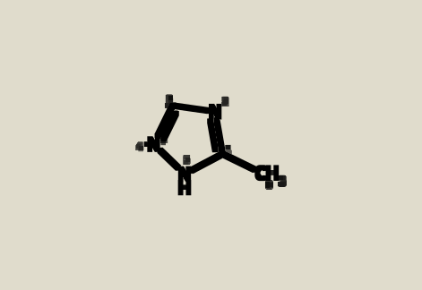 CC1=N[C]=[N+]N1